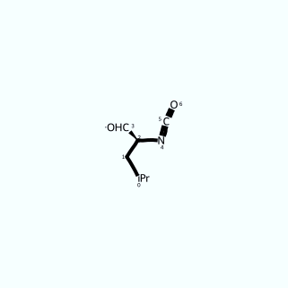 CC(C)C[C@@H]([C]=O)N=C=O